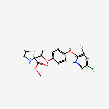 COC(=O)C1(C(C)Oc2ccc(Oc3ncc(Cl)cc3Cl)cc2)NCCS1